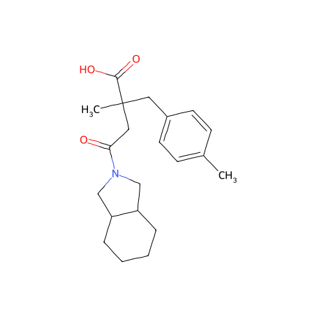 Cc1ccc(CC(C)(CC(=O)N2CC3CCCCC3C2)C(=O)O)cc1